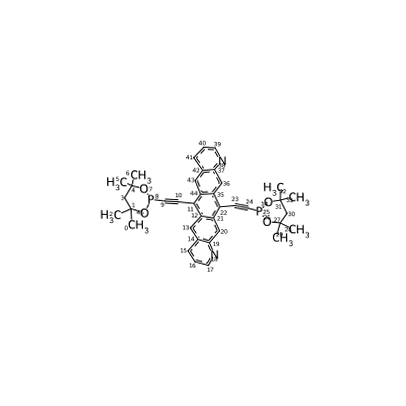 CC1(C)CC(C)(C)OP(C#Cc2c3cc4cccnc4cc3c(C#CP3OC(C)(C)CC(C)(C)O3)c3cc4ncccc4cc23)O1